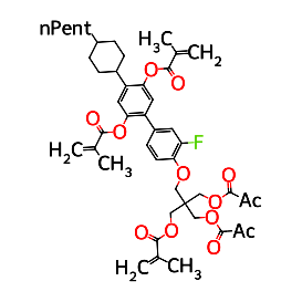 C=C(C)C(=O)OCC(COC(=O)C(C)=O)(COC(=O)C(C)=O)COc1ccc(-c2cc(OC(=O)C(=C)C)c(C3CCC(CCCCC)CC3)cc2OC(=O)C(=C)C)cc1F